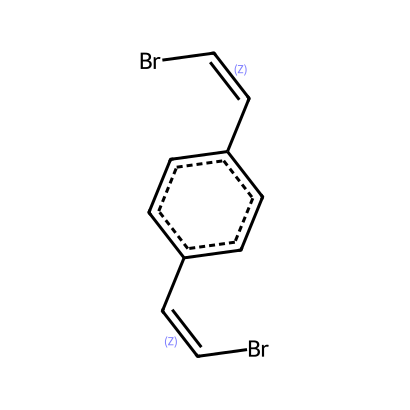 Br/C=C\c1ccc(/C=C\Br)cc1